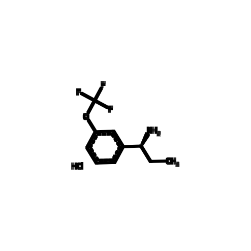 CC[C@H](N)c1cccc(OC(F)(F)F)c1.Cl